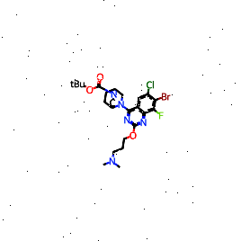 CN(C)CCCOc1nc(N2CC3CCC2CN3C(=O)OC(C)(C)C)c2cc(Cl)c(Br)c(F)c2n1